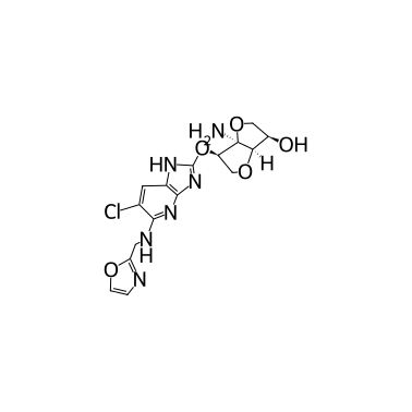 N[C@]12OC[C@@H](O)[C@H]1OC[C@H]2Oc1nc2nc(NCc3ncco3)c(Cl)cc2[nH]1